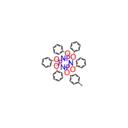 Cc1ccc(OP2(Oc3ccccc3)=NP(Oc3ccccc3)(Oc3ccccc3)=NP(Oc3ccccc3)(Oc3ccccc3)=N2)cc1